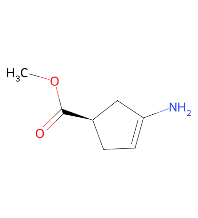 COC(=O)[C@@H]1CC=C(N)C1